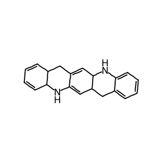 C1=CC2CC3=CC4Nc5ccccc5CC4C=C3NC2C=C1